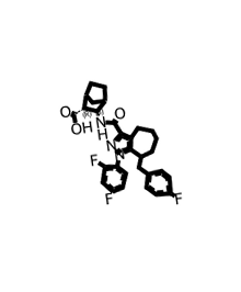 O=C(N[C@H]1C2CCC(C2)[C@H]1C(=O)O)c1nn(-c2ccc(F)cc2F)c2c1CCCCC2Cc1ccc(F)cc1